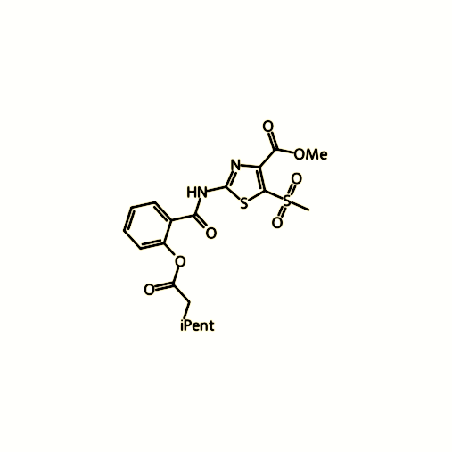 CCCC(C)CC(=O)Oc1ccccc1C(=O)Nc1nc(C(=O)OC)c(S(C)(=O)=O)s1